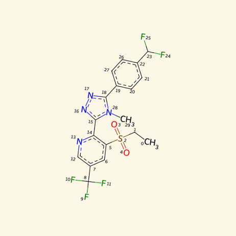 CCS(=O)(=O)c1cc(C(F)(F)F)cnc1-c1nnc(-c2ccc(C(F)F)cc2)n1C